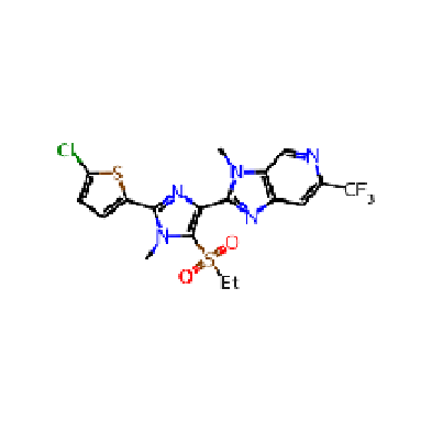 CCS(=O)(=O)c1c(-c2nc3cc(C(F)(F)F)ncc3n2C)nc(-c2ccc(Cl)s2)n1C